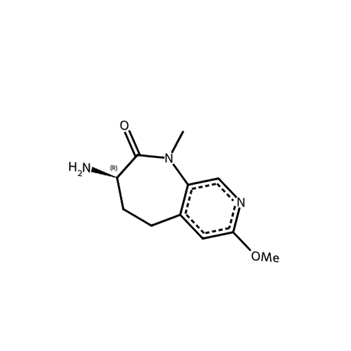 COc1cc2c(cn1)N(C)C(=O)[C@H](N)CC2